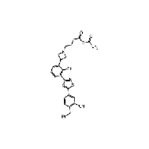 CCc1c(-c2nsc(-c3ccc(CC(C)C)c(C#N)c3)n2)cccc1C1CN(CCCC(=O)OC(=O)C(F)(F)F)C1